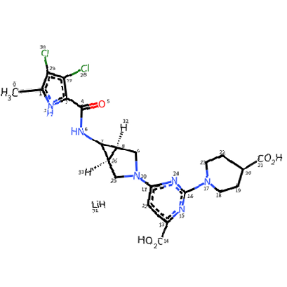 Cc1[nH]c(C(=O)NC2[C@H]3CN(c4cc(C(=O)O)nc(N5CCC(C(=O)O)CC5)n4)C[C@@H]23)c(Cl)c1Cl.[LiH]